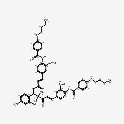 COc1cc(C=CC(=O)CC(c2ccc(N)cc2N)C(O)(O)C(=O)C=Cc2ccc(OC(=O)c3ccc(OCCCC(F)(F)F)cc3)c(OC)c2)ccc1OC(=O)c1ccc(OCCCC(F)(F)F)cc1